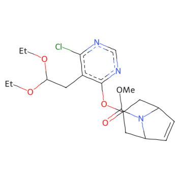 CCOC(Cc1c(Cl)ncnc1OC1CC2C=CC(C1)N2C(=O)OC)OCC